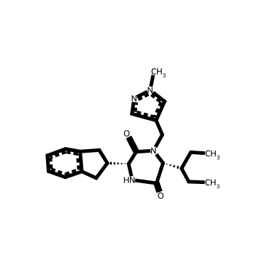 CCC(CC)[C@@H]1C(=O)N[C@H](C2Cc3ccccc3C2)C(=O)N1Cc1cnn(C)c1